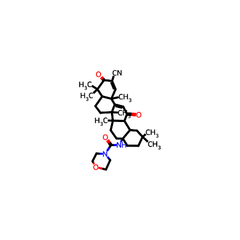 CC1(C)CCC2(NC(=O)N3CCOCC3)CCC3(C)C(C(=O)C=C4C5(C)C=C(C#N)C(=O)C(C)(C)C5CCC43C)C2C1